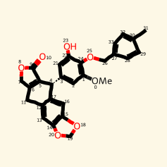 COc1cc([C@H]2C3=C(COC3=O)Cc3cc4c(cc32)OCO4)cc(O)c1OCc1ccc(C)cc1